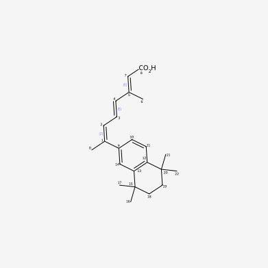 C/C(=C/C=C/C(C)=C/C(=O)O)c1ccc2c(c1)C(C)(C)CCC2(C)C